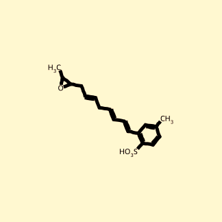 Cc1ccc(S(=O)(=O)O)c(C=CC=CCC=CCC2OC2C)c1